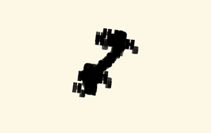 Cc1ncsc1-c1ccc(CNC(=O)[C@@H]2C[C@@H](O)CN2C(=O)[C@@H](NC(=O)COCCOCCOCCOCCCc2ccc(CO[C@H](C)[C@H](CCC(N)=O)NC(=O)OC(C)(C)C)cc2)C(C)(C)C)cc1